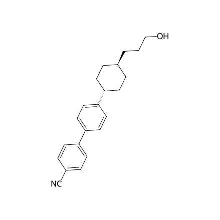 N#Cc1ccc(-c2ccc([C@H]3CC[C@H](CCCO)CC3)cc2)cc1